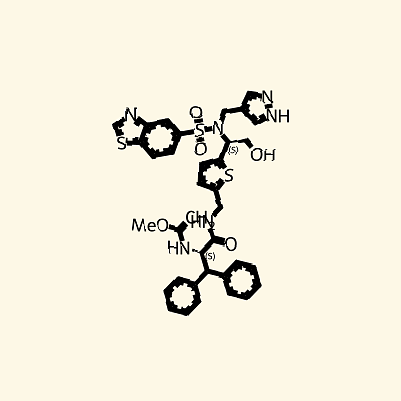 C=C(N[C@H](C(=O)NCc1ccc([C@H](CO)N(Cc2cn[nH]c2)S(=O)(=O)c2ccc3scnc3c2)s1)C(c1ccccc1)c1ccccc1)OC